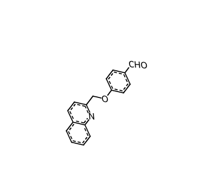 O=Cc1ccc(OCc2ccc3ccccc3n2)cc1